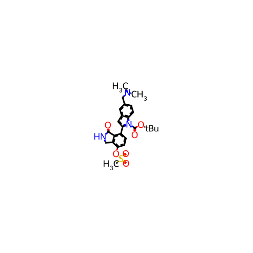 CN(C)Cc1ccc2c(c1)cc(-c1ccc(OS(C)(=O)=O)c3c1C(=O)NC3)n2C(=O)OC(C)(C)C